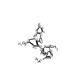 CSc1ccc(Oc2ccc(F)cc2F)c(-c2cc(C)c3nnc(C)n3n2)c1